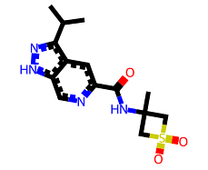 CC(C)c1n[nH]c2cnc(C(=O)NC3(C)CS(=O)(=O)C3)cc12